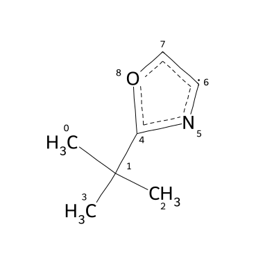 CC(C)(C)c1n[c]co1